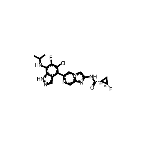 CC(C)Nc1c(F)c(Cl)c(-c2cn3cc(NC(=O)[C@@H]4C[C@@H]4F)nc3cn2)c2cn[nH]c12